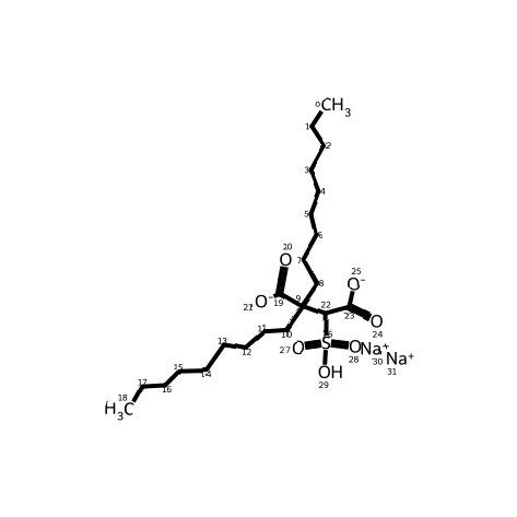 CCCCCCCCCC(CCCCCCCCC)(C(=O)[O-])C(C(=O)[O-])S(=O)(=O)O.[Na+].[Na+]